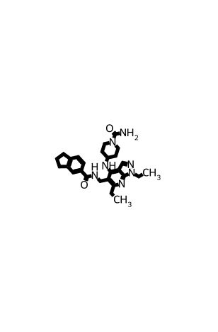 CCc1nc2c(cnn2CC)c(NC2CCN(C(N)=O)CC2)c1CNC(=O)c1ccc2c(c1)CCC2